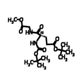 COC(=O)CNC(=O)[C@H](CCC(=O)OC(C)(C)C)NC(=O)OC(C)(C)C